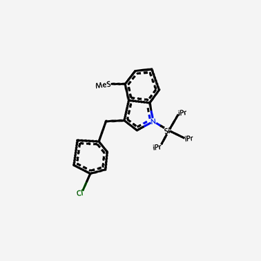 CSc1cccc2c1c(Cc1ccc(Cl)cc1)cn2[Si](C(C)C)(C(C)C)C(C)C